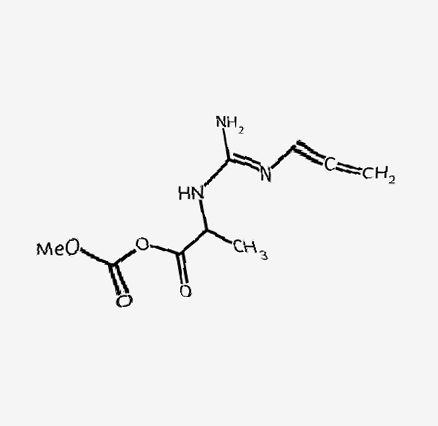 C=C=CN=C(N)NC(C)C(=O)OC(=O)OC